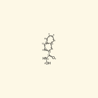 O=C(NO)c1cc2ccccc2cn1